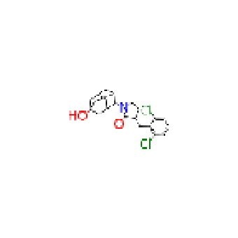 O=C1C(Cc2c(Cl)cccc2Cl)CCN1C1C2CC3CC1CC(O)(C3)C2